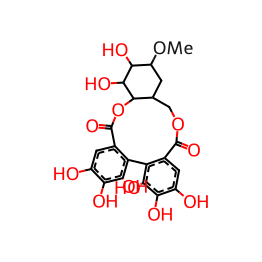 COC1CC2COC(=O)c3cc(O)c(O)c(O)c3-c3c(cc(O)c(O)c3O)C(=O)OC2C(O)C1O